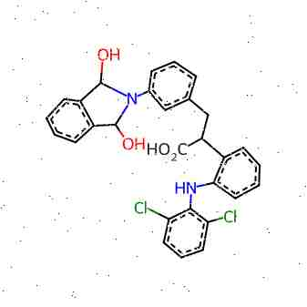 O=C(O)C(Cc1cccc(N2C(O)c3ccccc3C2O)c1)c1ccccc1Nc1c(Cl)cccc1Cl